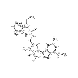 CCOC(=O)[C@@H](C)N[P@](=O)(OC[C@H]1O[C@@H](n2cnc3c(NC)nc(N)nc32)[C@@](F)(C(F)F)[C@@H]1O)Oc1ccccc1